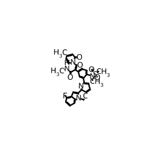 CNC(=O)c1c(-n2ccc(C)cc2=O)oc2cc(N(C)S(C)(=O)=O)c(-c3ccc4c(n3)-c3cc5c(F)cccc5n3CC4)cc12